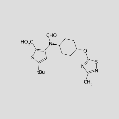 Cc1nsc(O[C@H]2CC[C@H](N(C=O)c3cc(C(C)(C)C)sc3C(=O)O)CC2)n1